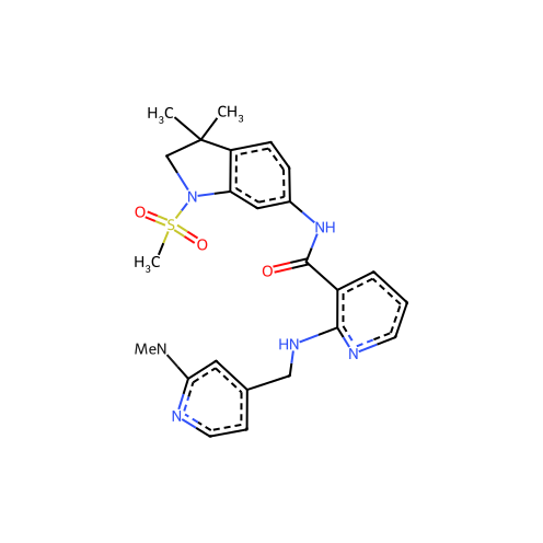 CNc1cc(CNc2ncccc2C(=O)Nc2ccc3c(c2)N(S(C)(=O)=O)CC3(C)C)ccn1